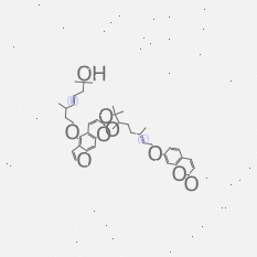 C/C(=C\COc1ccc2ccc(=O)oc2c1)CCC1OC2(C=Cc3c(cc4occc4c3OCCC(C)/C=C/CC(C)(C)O)O2)OC1(C)C